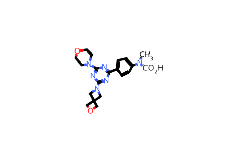 CN(C(=O)O)c1ccc(-c2nc(N3CCOCC3)nc(N3CC4(COC4)C3)n2)cc1